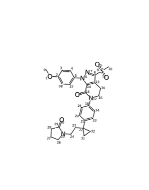 COc1ccc(-n2nc(S(C)(=O)=O)c3c2C(=O)N(c2ccc(C4(CCN5CCCC5=O)CC4)cc2)CC3)cc1